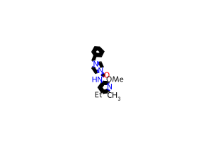 CCc1cc(NC(=O)N2CCN(Cc3ccccc3)CC2)c(OC)nc1C